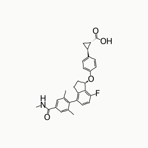 CNC(=O)c1cc(C)c(-c2ccc(F)c3c2CC[C@H]3Oc2ccc([C@H]3C[C@@H]3C(=O)O)cc2)c(C)c1